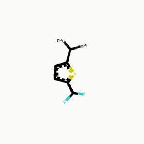 CCCC(CCC)c1ccc(C(F)F)s1